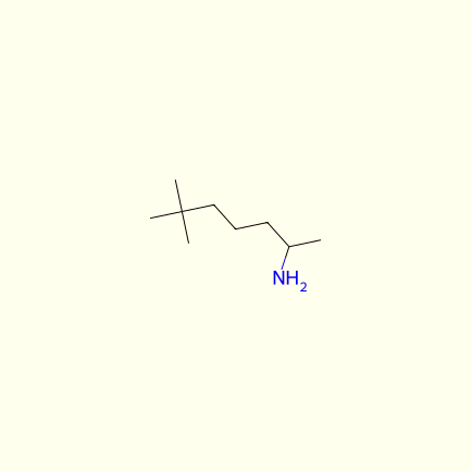 CC(N)CCCC(C)(C)C